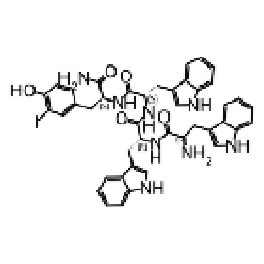 NC(=O)[C@H](Cc1ccc(O)c(I)c1)NC(=O)[C@H](Cc1c[nH]c2ccccc12)NC(=O)[C@@H](Cc1c[nH]c2ccccc12)NC(=O)[C@H](N)Cc1c[nH]c2ccccc12